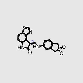 O=C1Nc2ccc3scnc3c2/C1=C/Nc1ccc2c(c1)CS(=O)(=O)C2